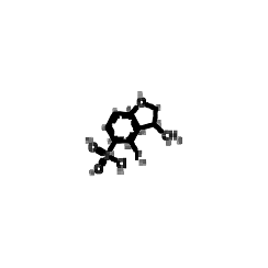 CC1COc2ccc(S(=O)(=O)Cl)c(F)c21